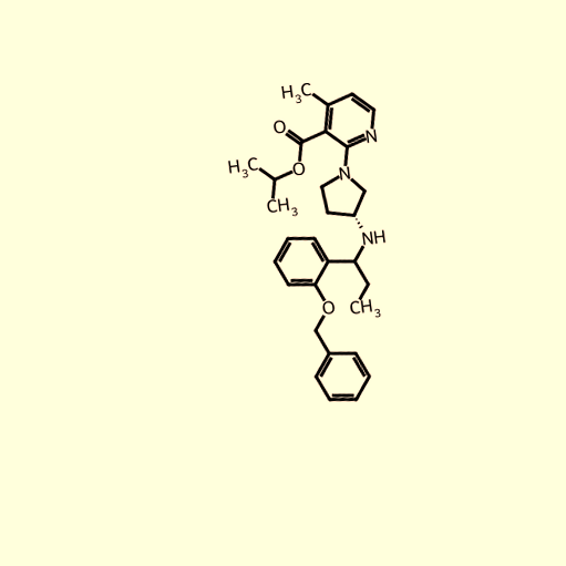 CCC(N[C@@H]1CCN(c2nccc(C)c2C(=O)OC(C)C)C1)c1ccccc1OCc1ccccc1